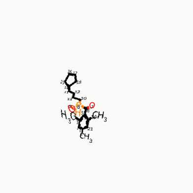 Cc1cc(C)c(C(=O)[PH](=O)CCCCC2CCCC2)c(C)c1